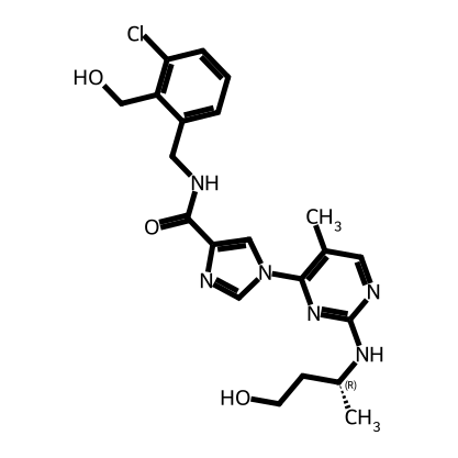 Cc1cnc(N[C@H](C)CCO)nc1-n1cnc(C(=O)NCc2cccc(Cl)c2CO)c1